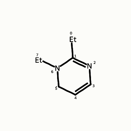 CCC1=NC=C[CH]N1CC